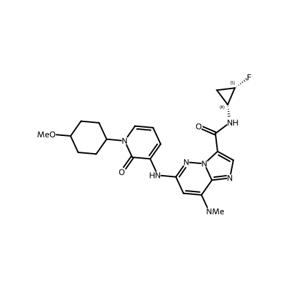 CNc1cc(Nc2cccn(C3CCC(OC)CC3)c2=O)nn2c(C(=O)N[C@@H]3C[C@@H]3F)cnc12